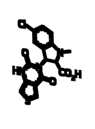 CN1c2ccc(Cl)cc2C(n2c(=O)[nH]c3cscc3c2=O)C1C(=O)O